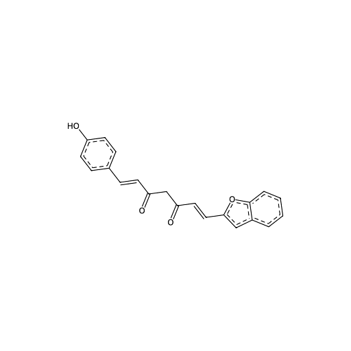 O=C(/C=C/c1ccc(O)cc1)CC(=O)/C=C/c1cc2ccccc2o1